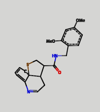 COc1ccc(CNC(=O)C2CSC34CC=CC=C3N=CCC24)c(OC)c1